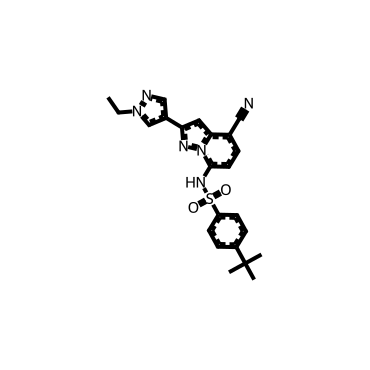 CCn1cc(-c2cc3c(C#N)ccc(NS(=O)(=O)c4ccc(C(C)(C)C)cc4)n3n2)cn1